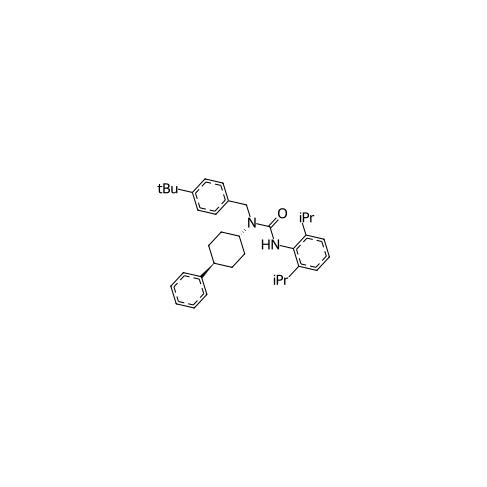 CC(C)c1cccc(C(C)C)c1NC(=O)N(Cc1ccc(C(C)(C)C)cc1)[C@H]1CC[C@H](c2ccccc2)CC1